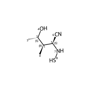 C[C@@H]([C@H](C)O)[C@@H](C#N)NS